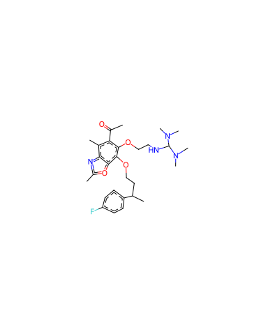 CC(=O)c1c(OCCNC(N(C)C)N(C)C)c(OCCC(C)c2ccc(F)cc2)c2oc(C)nc2c1C